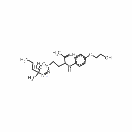 C=C(C)C(CCN(C)/N=N\C(C)(C)CCN)Nc1ccc(OCCO)cc1